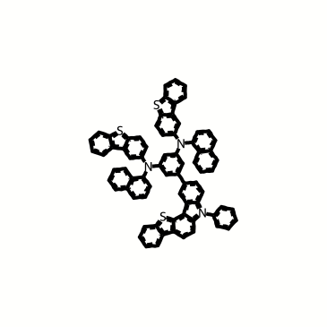 c1ccc(-n2c3ccc(-c4cc(N(c5ccc6sc7ccccc7c6c5)c5cccc6ccccc56)cc(N(c5ccc6sc7ccccc7c6c5)c5cccc6ccccc56)c4)cc3c3c4sc5ccccc5c4ccc32)cc1